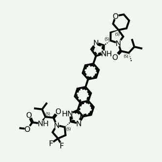 COC(=O)N[C@H](C(=O)N1CC(F)(F)C[C@H]1c1nc2ccc3cc(-c4ccc(-c5cnc([C@@H]6C[C@@]7(CCCOC7)CN6C(=O)[C@@H](C)C(C)C)[nH]5)cc4)ccc3c2[nH]1)C(C)C